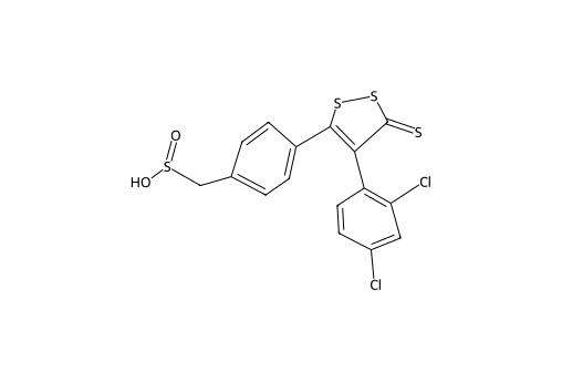 O=S(O)Cc1ccc(-c2ssc(=S)c2-c2ccc(Cl)cc2Cl)cc1